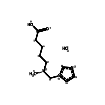 C[C@H](CCCCC(=O)O)Cn1ccnc1.Cl